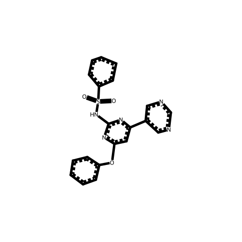 O=S(=O)(Nc1nc(Oc2ccccc2)cc(-c2cncnc2)n1)c1ccccc1